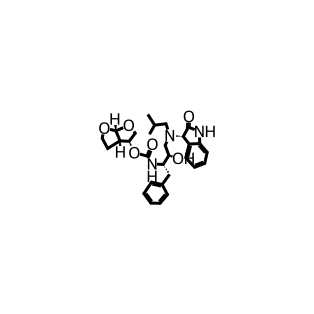 CC(C)CN(C[C@@H](O)[C@H](Cc1ccccc1)NC(=O)O[C@H]1CO[C@H]2OCC[C@H]21)[C@@H]1C(=O)Nc2ccccc21